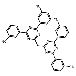 [C-]#[N+]c1cccc(-c2nc(Cc3nc(-c4cccc(C#N)c4)nc(-c4cccc(C#N)c4)n3)nc(-c3cccc(C#N)c3)n2)c1